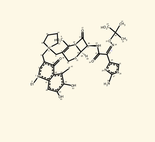 CCn1cc(C[N+]2(CC3=C(C(=O)O)N4C(=O)[C@@H](NC(=O)/C(=N\OC(C)(C)C(=O)O)c5csc(N)n5)[C@H]4SC3)CCCC2)c(=O)c2c(F)c(O)c(O)cc21